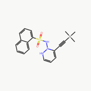 C[Si](C)(C)C#CC1=CC=CNN1NS(=O)(=O)c1cccc2ccccc12